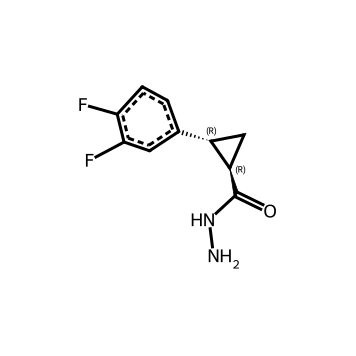 NNC(=O)[C@@H]1C[C@H]1c1ccc(F)c(F)c1